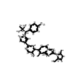 Cc1c(-c2nc(-c3cnn([C@H](c4ccc(F)cc4)C(C)(F)F)c3)ncc2F)ccn2nc(-n3c(C)ccc3C)nc12